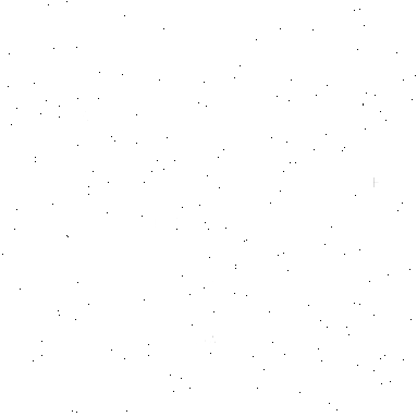 CCS(=O)(=O)c1ccc(Cc2c(C)c(COC(C)=O)cc3ccc(F)cc23)cc1